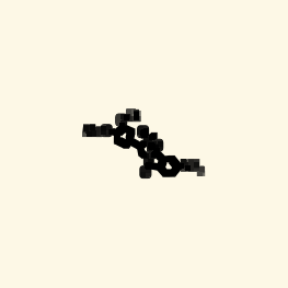 CCOc1cc(C(CN2C(=O)c3ccc(N)cc3C2=O)S(C)(=O)=O)ccc1OC